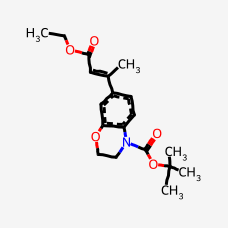 CCOC(=O)C=C(C)c1ccc2c(c1)OCCN2C(=O)OC(C)(C)C